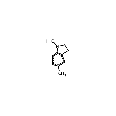 Cc1ccc2c(c1)SCN2C